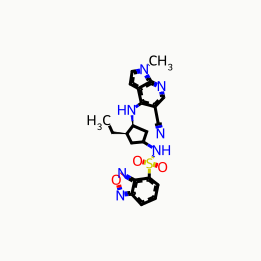 CC[C@@H]1CC(NS(=O)(=O)c2cccc3nonc23)C[C@@H]1Nc1c(C#N)cnc2c1ccn2C